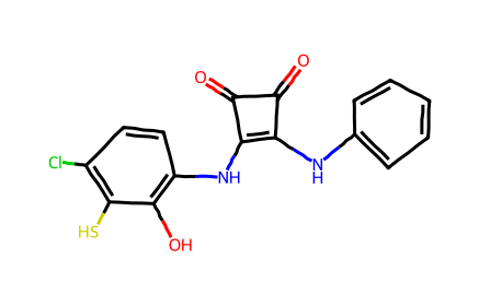 O=c1c(Nc2ccccc2)c(Nc2ccc(Cl)c(S)c2O)c1=O